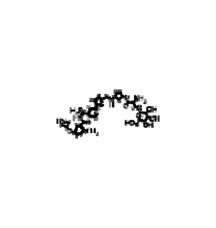 Cc1ccc(OC2CNC2)cc1C(=O)N[C@H](C)c1cccc(-c2ccc(CN[C@H]3CC[C@@H](OC(=O)[C@@H](N)CO[C@@H]4O[C@H](CO)[C@@H](O)[C@H](O)[C@H]4O)C3)s2)c1